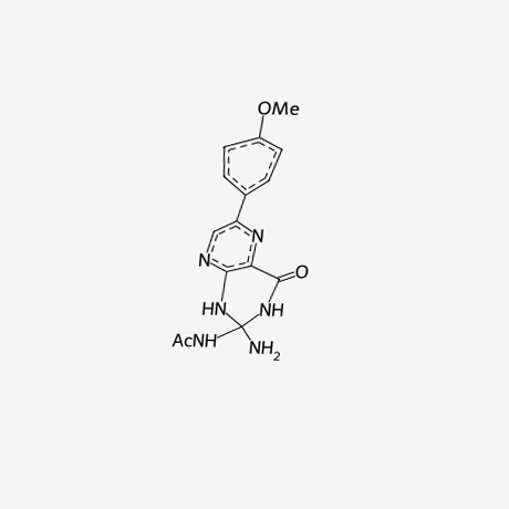 COc1ccc(-c2cnc3c(n2)C(=O)NC(N)(NC(C)=O)N3)cc1